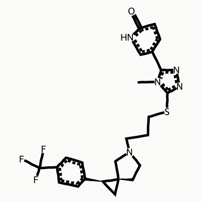 Cn1c(SCCCN2CC[C@]3(C[C@H]3c3ccc(C(F)(F)F)cc3)C2)nnc1-c1ccc(=O)[nH]c1